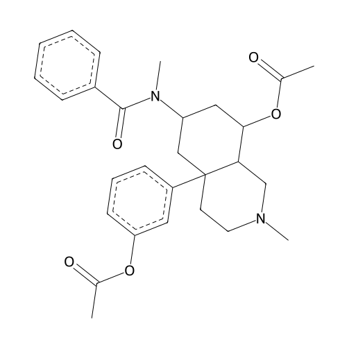 CC(=O)Oc1cccc(C23CCN(C)CC2C(OC(C)=O)CC(N(C)C(=O)c2ccccc2)C3)c1